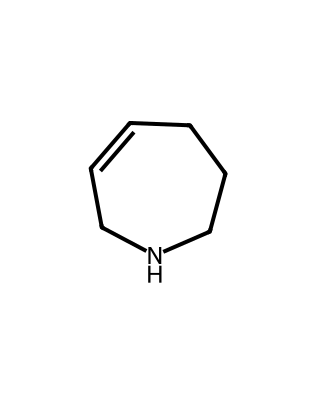 C1=CCNCCC1